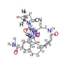 CC1CN(C)C(=O)c2ccc3c(c2)CCc2cc(C(=O)N(C)C)ccc2C3(C[C@@H](C)NCC(=O)N2C(C#N)C[C@@H]3C[C@@H]32)c2nnc1o2